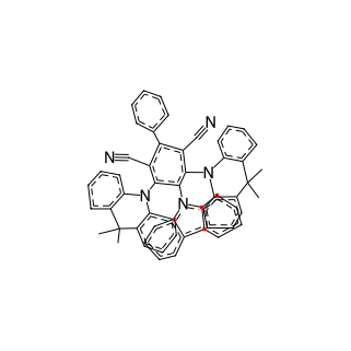 CC1(C)c2ccccc2N(c2c(C#N)c(-c3ccccc3)c(C#N)c(N3c4ccccc4C(C)(C)c4ccccc43)c2-n2c3ccccc3c3ccccc32)c2ccccc21